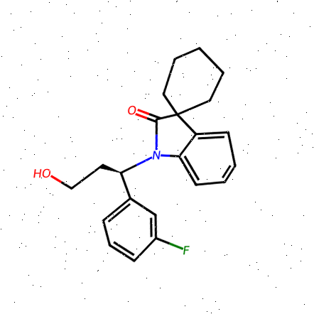 O=C1N([C@H](CCO)c2cccc(F)c2)c2ccccc2C12CCCCC2